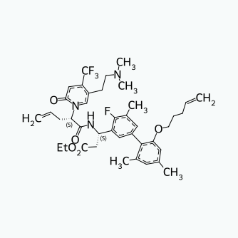 C=CCCCOc1cc(C)cc(C)c1-c1cc(C)c(F)c([C@H](CC(=O)OCC)NC(=O)[C@H](CC=C)n2cc(CCN(C)C)c(C(F)(F)F)cc2=O)c1